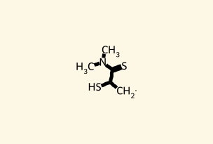 [CH2]C(S)C(=S)N(C)C